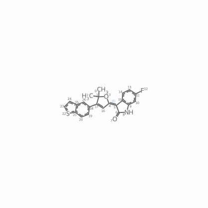 CC1(C)O/C(=C2/C(=O)Nc3cc(F)ccc32)C=C1c1ccc2sccc2c1